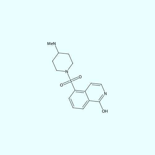 CNC1CCN(S(=O)(=O)c2cccc3c(O)nccc23)CC1